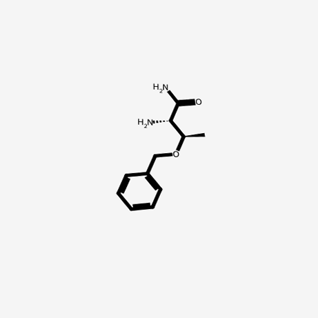 C[C@@H](OCc1ccccc1)[C@H](N)C(N)=O